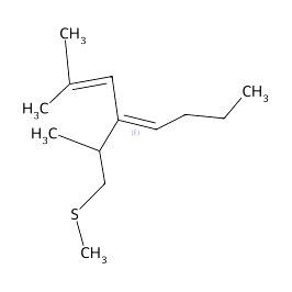 CCC/C=C(\C=C(C)C)C(C)CSC